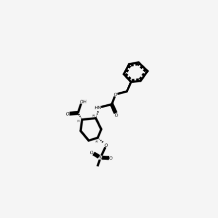 CS(=O)(=O)O[C@@H]1CC[C@H](C(=O)O)[C@H](NC(=O)OCc2ccccc2)C1